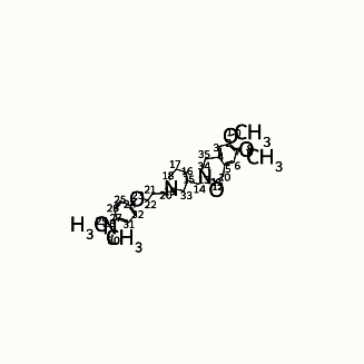 COc1cc2c(cc1OC)CC(=O)N(CC1CCCN(CCCOc3ccc(N(C)C)cc3)C1)CC2